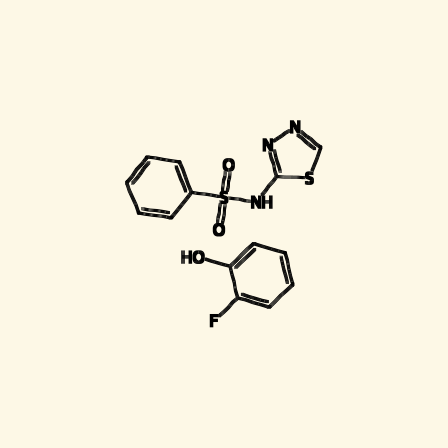 O=S(=O)(Nc1nncs1)c1ccccc1.Oc1ccccc1F